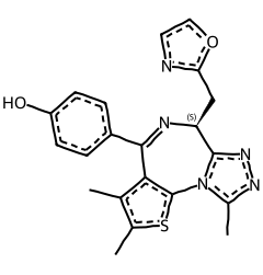 Cc1sc2c(c1C)C(c1ccc(O)cc1)=N[C@@H](Cc1ncco1)c1nnc(C)n1-2